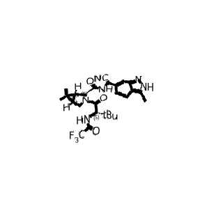 Cc1[nH]nc2cc(C(C#N)NC(=O)[C@@H]3[C@@H]4[C@H](CN3C(=O)[C@@H](NC(=O)C(F)(F)F)C(C)(C)C)C4(C)C)ccc12